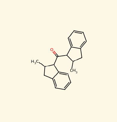 CC1Cc2ccccc2C1C(=O)C1c2ccccc2CC1C